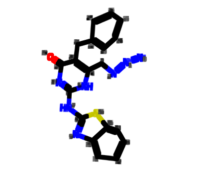 [N-]=[N+]=NCc1[nH]c(Nc2nc3ccccc3s2)nc(=O)c1Cc1ccccc1